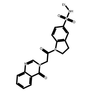 CCNS(=O)(=O)c1ccc2c(c1)CCN2C(=O)Cn1cnc2ccccc2c1=O